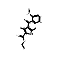 CCOC(=O)c1[nH]c(C)c(C(=O)c2ccccc2OC)c1C